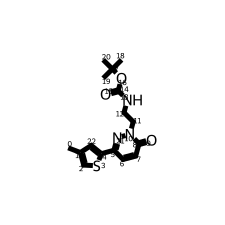 Cc1csc(-c2ccc(=O)n(CCNC(=O)OC(C)(C)C)n2)c1